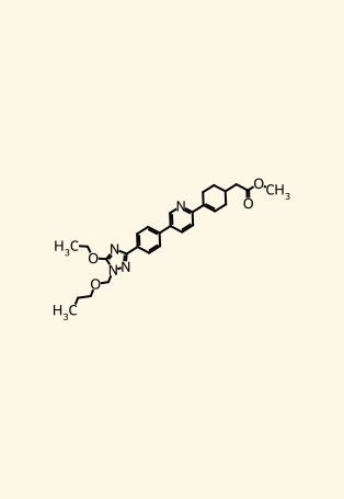 CCCOCn1nc(-c2ccc(-c3ccc(C4=CCC(CC(=O)OC)CC4)nc3)cc2)nc1OCC